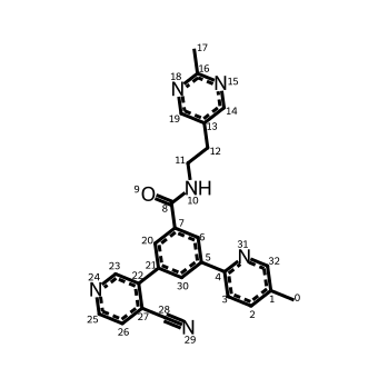 Cc1ccc(-c2cc(C(=O)NCCc3cnc(C)nc3)cc(-c3cnccc3C#N)c2)nc1